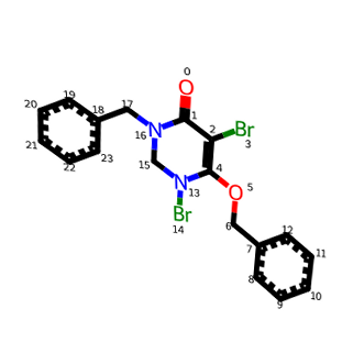 O=C1C(Br)=C(OCc2ccccc2)N(Br)CN1Cc1ccccc1